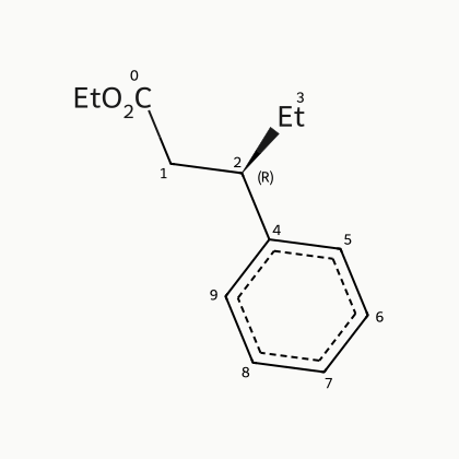 CCOC(=O)C[C@@H](CC)c1ccccc1